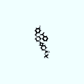 CC(C)c1ccccc1[C@@H]1CN(Cc2ccc(F)cc2)CCN1C1CC2(CCN(C(=O)OC(C)(C)C)CC2)C1